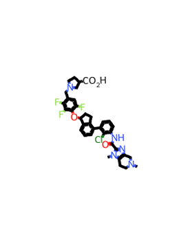 CN1CCc2c(nc(C(=O)Nc3cccc(-c4cccc5c4CCC5Oc4c(F)cc(CN5CCC(C(=O)O)C5)c(F)c4F)c3Cl)n2C)C1